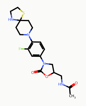 CC(=O)NCC1CN(c2ccc(N3CCC4(CC3)NCCS4)c(F)c2)C(=O)O1